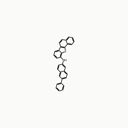 c1ccc(-c2ccc3cc(Nc4cccc5c4sc4c6ccccc6ccc54)ccc3c2)cc1